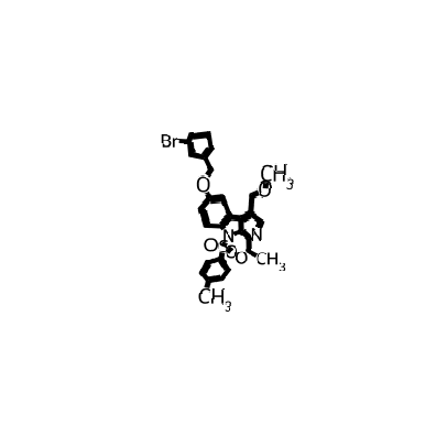 COCc1cnc(C(C)=O)c2c1c1cc(OCc3cccc(Br)c3)ccc1n2S(=O)(=O)c1ccc(C)cc1